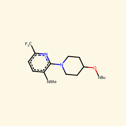 CCCCOC1CCN(c2nc(C(F)(F)F)ccc2NC)CC1